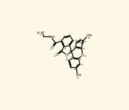 NCNC(=O)c1cccc2c1C(=O)OC21c2ccc(O)cc2Oc2cc(O)ccc21